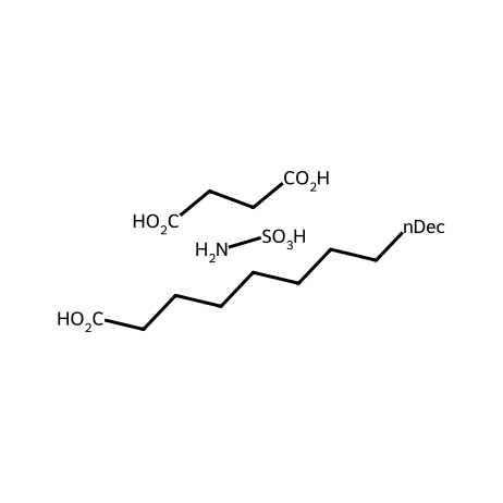 CCCCCCCCCCCCCCCCCC(=O)O.NS(=O)(=O)O.O=C(O)CCC(=O)O